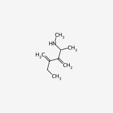 C=C(CC)C(=C)C(C)NC